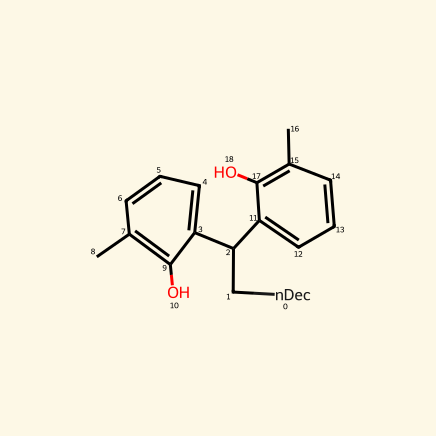 CCCCCCCCCCCC(c1cccc(C)c1O)c1cccc(C)c1O